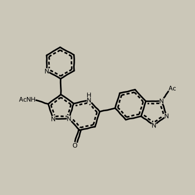 CC(=O)Nc1nn2c(=O)cc(-c3ccc4c(c3)nnn4C(C)=O)[nH]c2c1-c1ccccn1